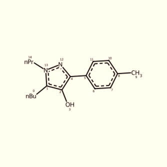 CCCCc1c(O)c(-c2ccc(C)cc2)nn1CCC